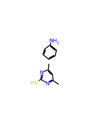 Cc1cc(C)nc(S)n1.Nc1ccccc1